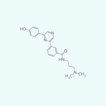 CN(C)CCCNC(=O)c1cccc(-c2cncc(-c3ccc(O)cc3)n2)c1